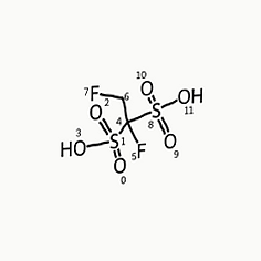 O=S(=O)(O)C(F)(CF)S(=O)(=O)O